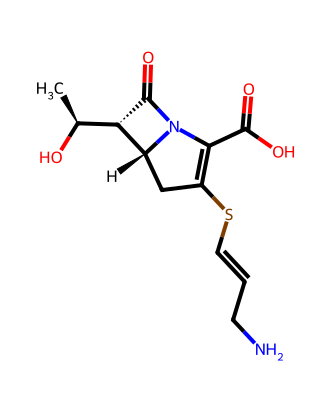 C[C@H](O)[C@@H]1C(=O)N2C(C(=O)O)=C(SC=CCN)C[C@H]12